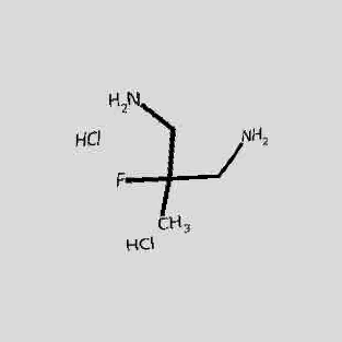 CC(F)(CN)CN.Cl.Cl